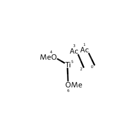 CC(C)=O.CC(C)=O.C[O][Ti][O]C